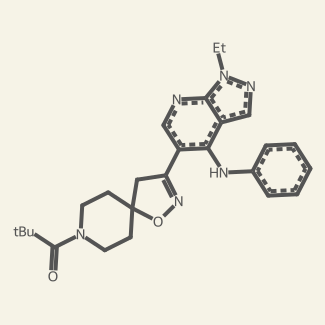 CCn1ncc2c(Nc3ccccc3)c(C3=NOC4(CCN(C(=O)C(C)(C)C)CC4)C3)cnc21